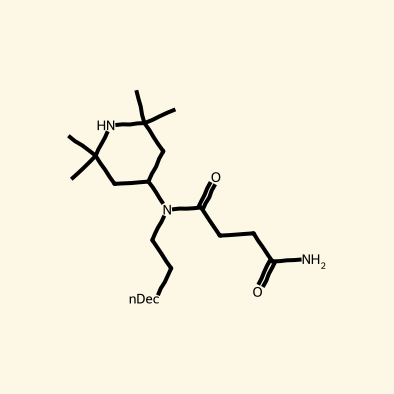 CCCCCCCCCCCCN(C(=O)CCC(N)=O)C1CC(C)(C)NC(C)(C)C1